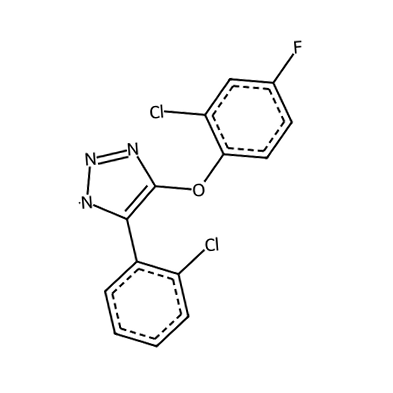 Fc1ccc(OC2=C(c3ccccc3Cl)[N]N=N2)c(Cl)c1